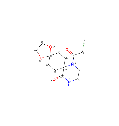 O=C(CF)N1CCNC(=O)C12CCC1(CC2)OCCO1